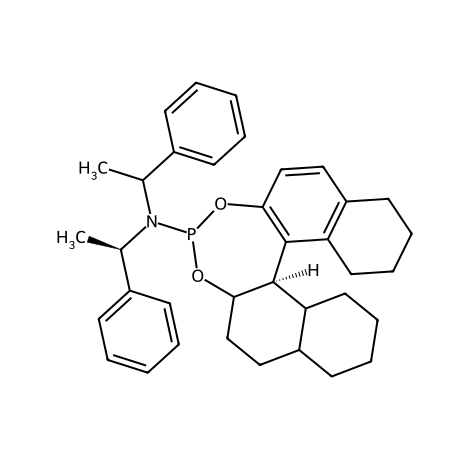 CC(c1ccccc1)N([C@H](C)c1ccccc1)P1Oc2ccc3c(c2[C@@H]2C(CCC4CCCCC42)O1)CCCC3